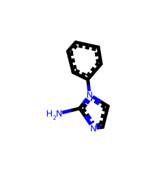 Nc1nccn1-c1ccccc1